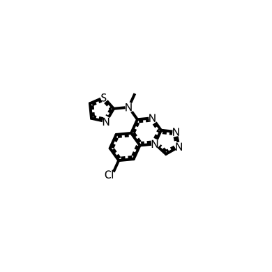 CN(c1nccs1)c1nc2nncn2c2cc(Cl)ccc12